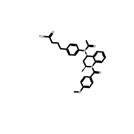 COc1ccc(C(=O)N2c3ccccc3[C@H](N(C(C)=O)c3ccc(CCCC(N)=O)cc3)C[C@@H]2C)cc1